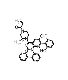 C=CC(=O)N1CCN(c2nc(=O)n(-c3ccccc3-c3ccccc3)c3nc(-c4c(O)cccc4F)c(Cl)cc23)[C@@H](C)C1